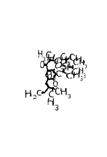 C=CC1=Cc2cc(C(=O)C(C)C)c(O[Si](C(C)C)(C(C)C)C(C)C)cc2OC1(C)C